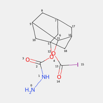 NNC(=O)OC12CC3CC(C1)C(OC(=O)I)C(C3)C2